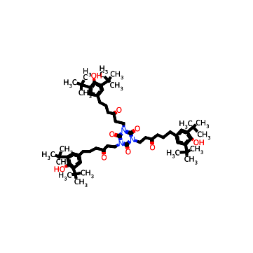 CC(C)(C)c1cc(CCCC(=O)CCn2c(=O)n(CCC(=O)CCCc3cc(C(C)(C)C)c(O)c(C(C)(C)C)c3)c(=O)n(CCC(=O)CCCc3cc(C(C)(C)C)c(O)c(C(C)(C)C)c3)c2=O)cc(C(C)(C)C)c1O